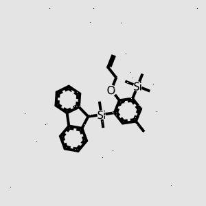 C=CCOc1c([Si](C)(C)C)cc(C)cc1[Si](C)(C)C1c2ccccc2-c2ccccc21